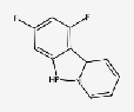 Fc1cc(F)c2c(c1)PN1C=CC=CC21